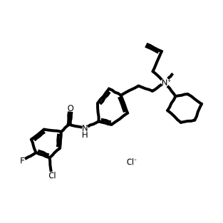 C=CC[N+](C)(CCc1ccc(NC(=O)c2ccc(F)c(Cl)c2)cc1)C1CCCCC1.[Cl-]